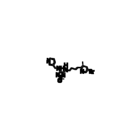 Cc1cc(Br)cnc1CCCCNc1n[s+]([O-])nc1NCc1cccnc1